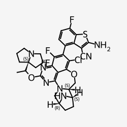 CC(Oc1nc2c3c(c(Cl)c(-c4ccc(F)c5sc(N)c(C#N)c45)c(F)c3n1)OC[C@@H]1[C@@H]3CC[C@H](CN21)N3)[C@@]12CCCN1C[C@H](F)C2